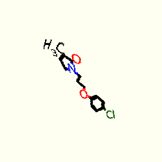 CC1CCN(CCCOc2ccc(Cl)cc2)C1=O